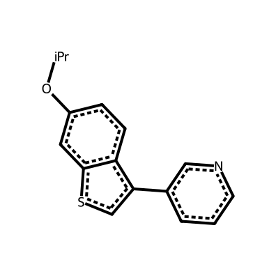 CC(C)Oc1ccc2c(-c3cccnc3)csc2c1